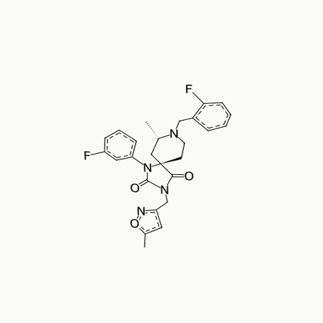 Cc1cc(CN2C(=O)N(c3cccc(F)c3)[C@@]3(CCN(Cc4ccccc4F)[C@@H](C)C3)C2=O)no1